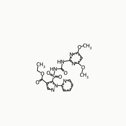 CCOC(=O)c1cnn(-c2ccccn2)c1S(=O)(=O)NC(=O)Nc1nc(OC)cc(OC)n1